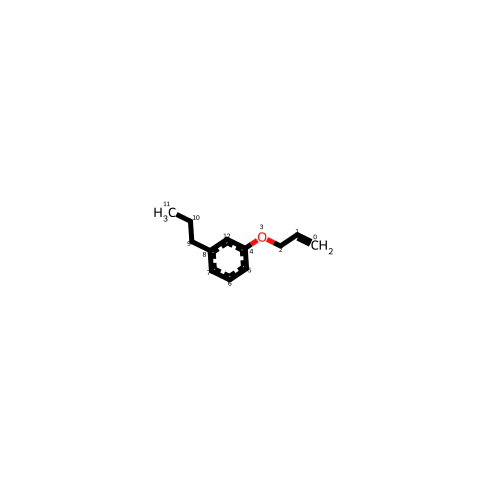 C=CCOc1cccc(CCC)c1